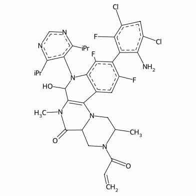 C=CC(=O)N1CC2C(=O)N(C)C3=C(c4cc(F)c(-c5c(N)c(Cl)cc(Cl)c5F)c(F)c4N(c4c(C(C)C)ncnc4C(C)C)C3O)N2CC1C